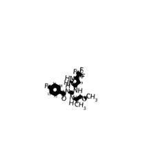 COC[C@H](C)NC(NC(=O)c1ccc(F)cc1)NC1CC(C(F)(F)F)NN1